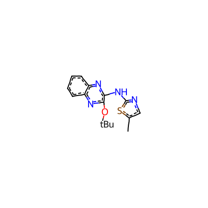 Cc1cnc(Nc2nc3ccccc3nc2OC(C)(C)C)s1